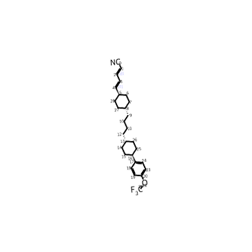 N#C/C=C/C=C/[C@H]1CC[C@H](CCCC[C@H]2CC[C@H](c3ccc(OC(F)(F)F)cc3)CC2)CC1